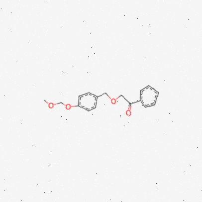 COCOc1ccc(COCC(=O)c2ccccc2)cc1